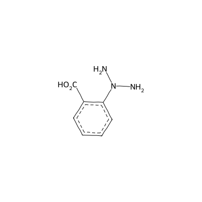 NN(N)c1ccccc1C(=O)O